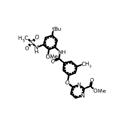 COC(=O)c1nccc(Oc2cc(C)cc(C(=O)Nc3cc(C(C)(C)C)cc(NS(C)(=O)=O)c3OC)c2)n1